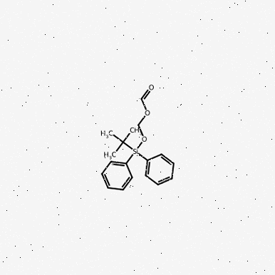 CC(C)(C)[Si](OCO[C]=O)(c1ccccc1)c1ccccc1